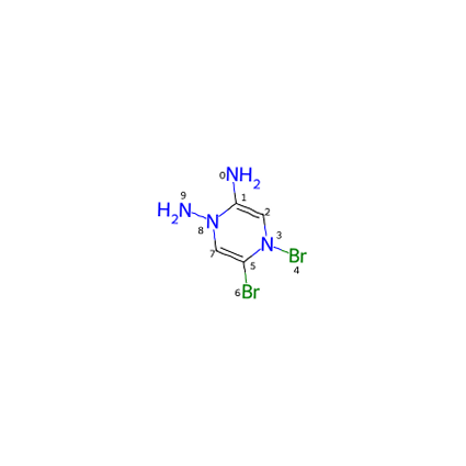 NC1=CN(Br)C(Br)=CN1N